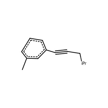 Cc1cccc(C#CCC(C)C)c1